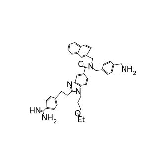 CCOCCCn1c(CCc2ccc(C(=N)N)cc2)nc2cc(C(=O)N(Cc3ccc(CN)cc3)Cc3ccc4ccccc4c3)ccc21